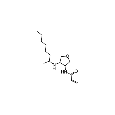 C=CC(=O)NC1COCC1NC(C)CCCCCC